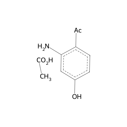 CC(=O)O.CC(=O)c1ccc(O)cc1N